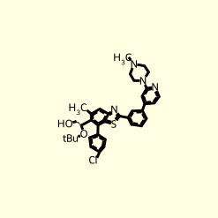 Cc1cc2nc(-c3cccc(-c4ccnc(N5CCN(C)CC5)c4)c3)sc2c(-c2ccc(Cl)cc2)c1[C@@H](CO)OC(C)(C)C